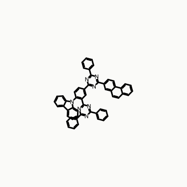 c1ccc(-c2nc(-c3ccc(-n4c5ccccc5c5ccccc54)c(-c4nc(-c5ccccc5)nc(-c5ccccc5)n4)c3)nc(-c3ccc4c(ccc5ccccc54)c3)n2)cc1